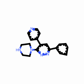 c1ccc(-c2cc(-c3ccncc3)c(N3CCNCC3)nn2)cc1